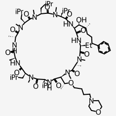 CC[C@@H]1NC(=O)[C@H]([C@H](O)[C@H](C)CCCc2ccccc2)NC(=O)[C@H](C(C)C)N(C)C(=O)[C@H](CC(C)C)N(C)C(=O)[C@H](CC(C)C)N(C)C(=O)[C@@H](C)NC(=O)[C@H](C)NC(=O)[C@H](CC(C)C)N(C)C(=O)[C@H](C(C)C)NC(=O)[C@H]([C@@H](C)OCCCCN2CCOCC2)N(C)C(=O)[C@@H](C)N(C)C1=O